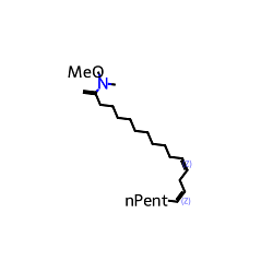 C=C(CCCCCCCCC/C=C\C/C=C\CCCCC)N(C)OC